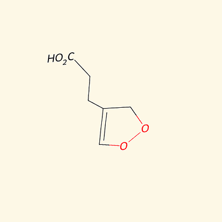 O=C(O)CCC1=COOC1